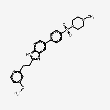 COc1ccnc(CCc2nc3cc(-c4ccc(S(=O)(=O)N5CCN(C)CC5)cc4)cnc3[nH]2)c1